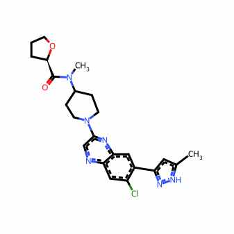 Cc1cc(-c2cc3nc(N4CCC(N(C)C(=O)[C@H]5CCCO5)CC4)cnc3cc2Cl)n[nH]1